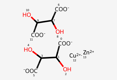 O=C([O-])C(O)C(O)C(=O)[O-].O=C([O-])C(O)C(O)C(=O)[O-].[Cu+2].[Zn+2]